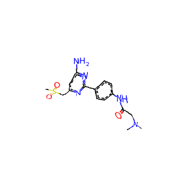 CN(C)CC(=O)Nc1ccc(-c2nc(N)cc(CS(C)(=O)=O)n2)cc1